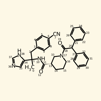 CC(Cc1ccc(C#N)cc1)(NC(=O)[C@H]1CCCN(C(=O)C(c2ccccc2)c2ccccc2)C1)c1cnc[nH]1